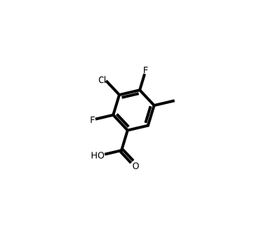 Cc1cc(C(=O)O)c(F)c(Cl)c1F